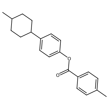 Cc1ccc(C(=O)Oc2ccc(C3CCC(C)CC3)cc2)cc1